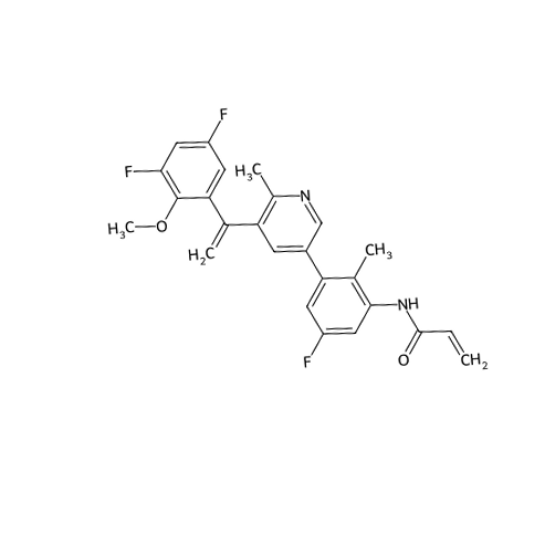 C=CC(=O)Nc1cc(F)cc(-c2cnc(C)c(C(=C)c3cc(F)cc(F)c3OC)c2)c1C